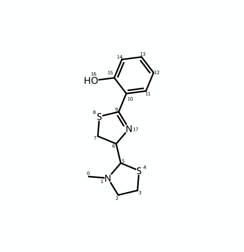 CN1CCSC1C1CSC(c2ccccc2O)=N1